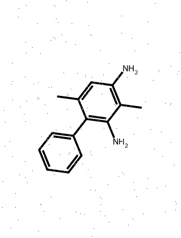 Cc1cc(N)c(C)c(N)c1-c1ccccc1